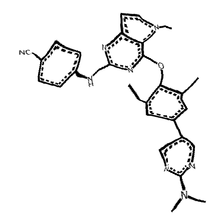 Cc1cc(-c2cnc(N(C)C)nc2)cc(C)c1Oc1nc(Nc2ccc(C#N)cc2)nc2ccn(C)c12